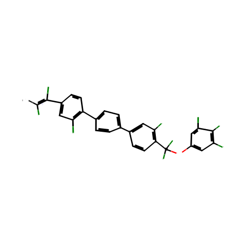 CCC/C(F)=C(\F)c1ccc(-c2ccc(-c3ccc(C(F)(F)Oc4cc(F)c(F)c(F)c4)c(F)c3)cc2)c(F)c1